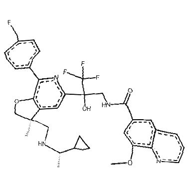 COc1cc(C(=O)NCC(O)(c2cc3c(c(-c4ccc(F)cc4)n2)OC[C@]3(C)CN[C@@H](C)C2CC2)C(F)(F)F)cc2cccnc12